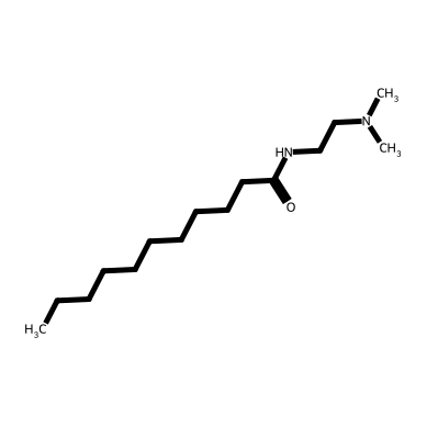 CCCCCCCCCCC(=O)NCCN(C)C